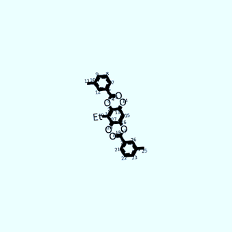 CCC1=C(OC(=O)c2cccc(C)c2)C(=O)C=C(OC(=O)c2cccc(C)c2)C1=O